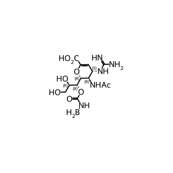 BNC(=O)O[C@@H]([C@@H]1OC(C(=O)O)=C[C@H](NC(=N)N)[C@H]1NC(C)=O)[C@H](O)CO